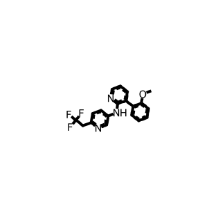 COc1ccccc1-c1cccnc1Nc1ccc(CC(F)(F)F)nc1